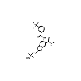 CNC(=O)c1cn2nc(CCC(C)(C)O)cc2cc1NC(=O)c1cccc(C(F)(F)F)n1